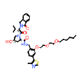 CCCCCCOCCOCCOc1cc(-c2scnc2C)ccc1CNC(=O)[C@@H]1C[C@@H](O)CN1C(=O)[C@H](C(C)C)N1Cc2ccccc2C1=O